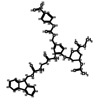 COC(=O)[C@H]1CC(OC(C)=O)CC(Oc2ccc(COC(=O)Oc3ccc([N+](=O)[O-])cc3)cc2NC(=O)CCNC(=O)OCC2c3ccccc3-c3ccccc32)O1